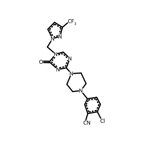 N#Cc1cc(N2CCN(c3ncn(Cn4ccc(C(F)(F)F)n4)c(=O)n3)CC2)ccc1Cl